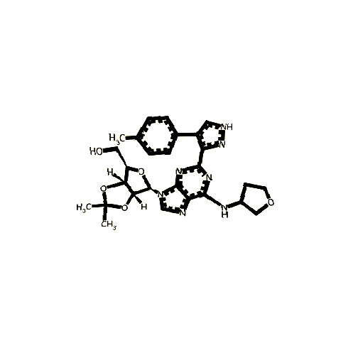 Cc1ccc(-c2c[nH]nc2-c2nc(NC3CCOC3)c3ncn([C@@H]4O[C@H](CO)[C@H]5OC(C)(C)O[C@H]54)c3n2)cc1